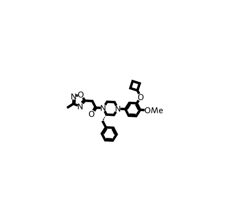 COc1ccc(N2CCN(C(=O)Cc3nc(C)no3)[C@@H](Cc3ccccc3)C2)cc1OC1CCC1